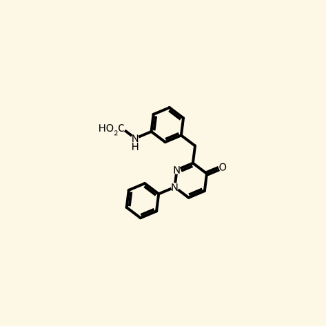 O=C(O)Nc1cccc(Cc2nn(-c3ccccc3)ccc2=O)c1